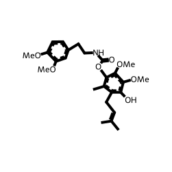 COc1ccc(CCNC(=O)Oc2c(C)c(CC=C(C)C)c(O)c(OC)c2OC)cc1OC